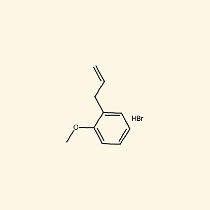 Br.C=CCc1ccccc1OC